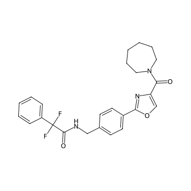 O=C(c1coc(-c2ccc(CNC(=O)C(F)(F)c3ccccc3)cc2)n1)N1CCCCCC1